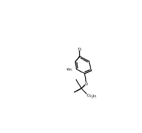 CCOC(=O)C(C)(C)Oc1ccc(Cl)cc1.[KH]